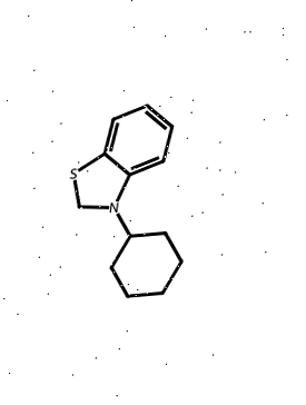 c1ccc2c(c1)SCN2C1CCCCC1